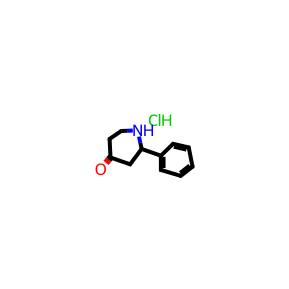 Cl.O=C1CCNC(c2ccccc2)C1